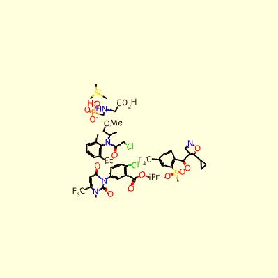 CC(C)OC(=O)c1cc(-n2c(=O)cc(C(F)(F)F)n(C)c2=O)ccc1Cl.CCc1cccc(C)c1N(C(=O)CCl)C(C)COC.CS(=O)(=O)c1cc(C(F)(F)F)ccc1C(=O)c1cnoc1C1CC1.C[S+](C)C.O=C(O)CNCP(=O)([O-])O